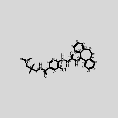 CN(C)CC(C)(C)CNC(=O)c1cnc(NNC(=O)NC2c3ccccc3CCc3ccccc32)c(Cl)c1